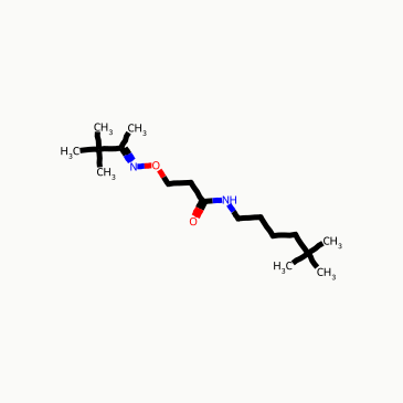 C/C(=N\OCCC(=O)NCCCCC(C)(C)C)C(C)(C)C